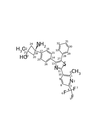 Cc1nc(C(F)(F)F)ccc1-c1nc(-c2ccc([C@]3(N)C[C@@](C)(O)C3)cc2)c(-c2ccccc2)s1